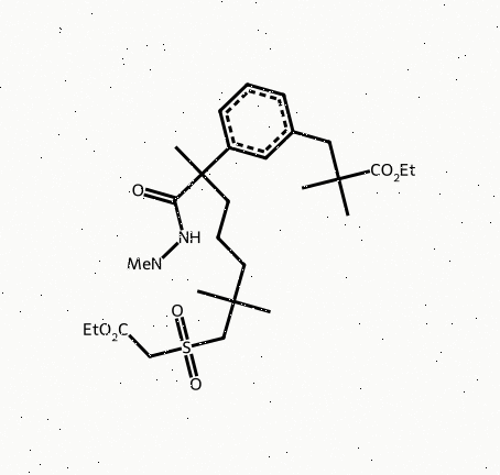 CCOC(=O)CS(=O)(=O)CC(C)(C)CCCC(C)(C(=O)NNC)c1cccc(CC(C)(C)C(=O)OCC)c1